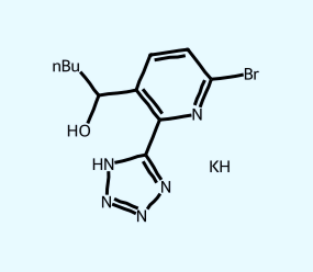 CCCCC(O)c1ccc(Br)nc1-c1nnn[nH]1.[KH]